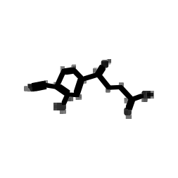 N#Cc1ccc(C(=O)CCC(=O)O)cc1O